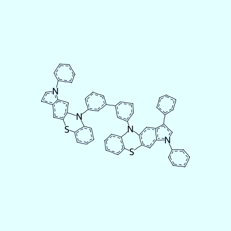 c1ccc(-c2cn(-c3ccccc3)c3cc4c(cc23)N(c2cccc(-c3cccc(N5c6ccccc6Sc6cc7ccn(-c8ccccc8)c7cc65)c3)c2)c2ccccc2S4)cc1